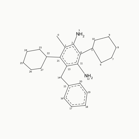 Cc1c(N)c(C2CCCCC2)c(N)c(Cc2ccccc2)c1C1CCCCC1